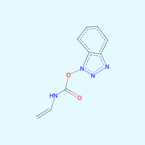 C=CNC(=O)On1nnc2ccccc21